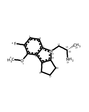 COc1c(F)ccc2c1c1c(n2C[C@H](C)N)CCC1